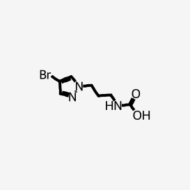 O=C(O)NCCCn1cc(Br)cn1